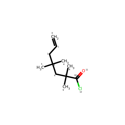 C=CCC(C)(C)CC(C)(C)C(=O)Cl